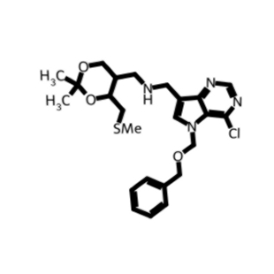 CSCC1OC(C)(C)OCC1CNCc1cn(COCc2ccccc2)c2c(Cl)ncnc12